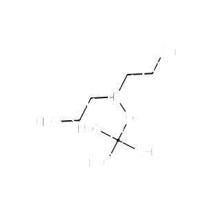 CCCP(CCC)OC(C)(C)C